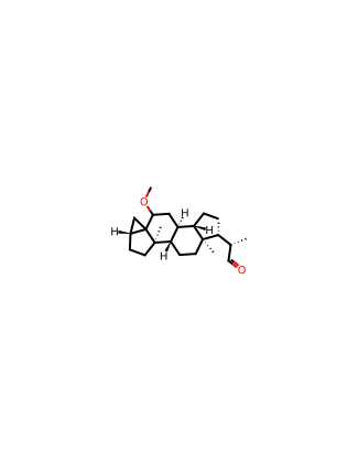 COC1C[C@H]2[C@@H]3CC[C@H]([C@H](C)C=O)[C@@]3(C)CC[C@@H]2[C@@]2(C)CC[C@@H]3CC132